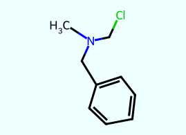 CN(CCl)Cc1ccccc1